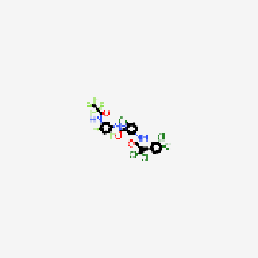 O=C(Nc1cc(NC(=O)C(F)(F)C(F)F)c(F)cc1F)c1cc(NC(=O)C2[C@H](c3ccc(Cl)c(Cl)c3)C2(Cl)Cl)ccc1Cl